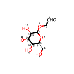 O=CCOC1O[C@H](CO)[C@@H](O)[C@H](O)[C@@H]1O